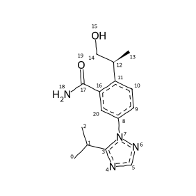 CC(C)c1ncnn1-c1ccc([C@H](C)CO)c(C(N)=O)c1